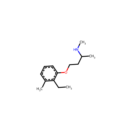 CCc1c(C)cccc1OCCC(C)NC